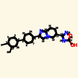 Cc1ccc(-c2ccc(-c3cn4cc(-c5noc(O)n5)ccc4n3)cc2)cc1C